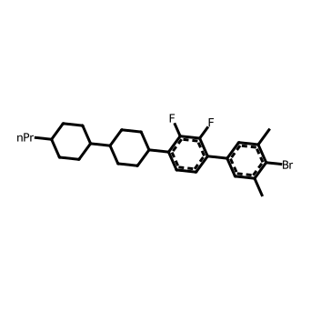 CCCC1CCC(C2CCC(c3ccc(-c4cc(C)c(Br)c(C)c4)c(F)c3F)CC2)CC1